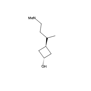 CNCCC(C)[C@H]1C[C@H](O)C1